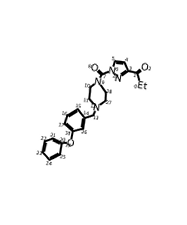 CCC(=O)c1ccn(C(=O)N2CCN(Cc3cccc(Oc4ccccc4)c3)CC2)n1